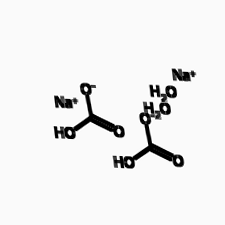 O.O.O=C([O-])O.O=C([O-])O.[Na+].[Na+]